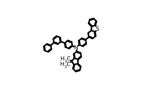 CC1(C)c2ccccc2-c2ccc(N(c3ccc(C4=CC=C5Sc6ccccc6C5C4)cc3)c3ccc(-c4cccc(-c5ccccc5)c4)cc3)cc21